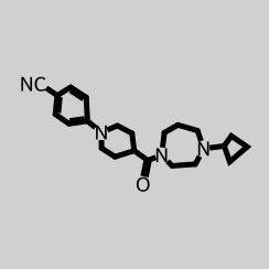 N#Cc1ccc(N2CCC(C(=O)N3CCCN(C4CCC4)CC3)CC2)cc1